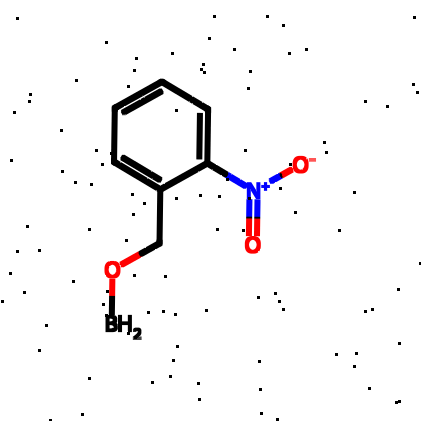 BOCc1ccccc1[N+](=O)[O-]